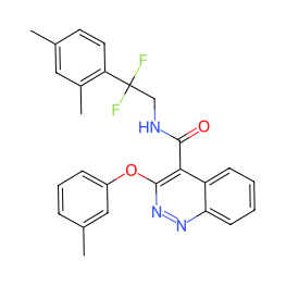 Cc1cccc(Oc2nnc3ccccc3c2C(=O)NCC(F)(F)c2ccc(C)cc2C)c1